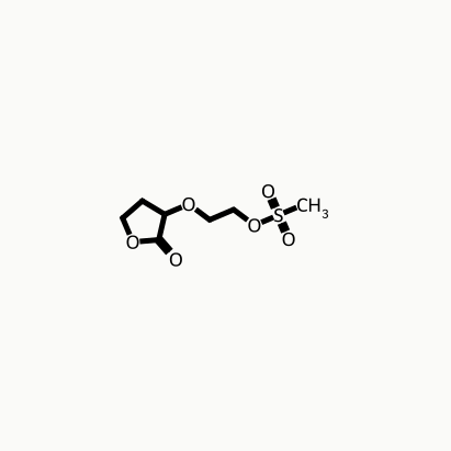 CS(=O)(=O)OCCOC1CCOC1=O